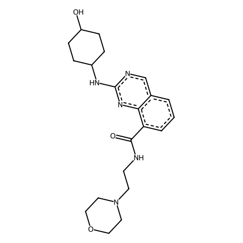 O=C(NCCN1CCOCC1)c1cccc2cnc(NC3CCC(O)CC3)nc12